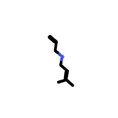 C=CC[N]CC=C(C)C